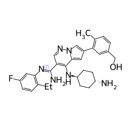 CCc1ccc(F)cc1/N=C(\N)c1cnn2cc(-c3cc(CO)ccc3C)cc2c1N[C@H]1CC[C@H](N)CC1